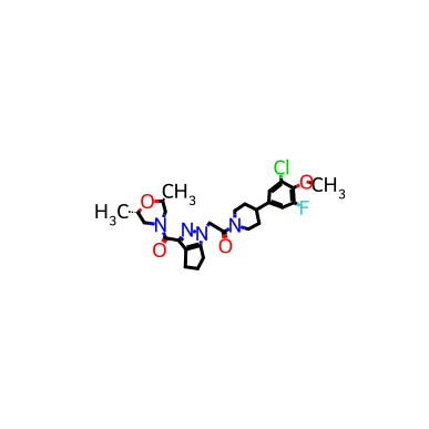 COc1c(F)cc(C2CCN(C(=O)Cn3nc(C(=O)N4C[C@@H](C)O[C@@H](C)C4)c4c3CCC4)CC2)cc1Cl